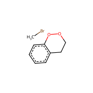 CBr.c1ccc2c(c1)CCOO2